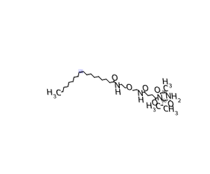 CCCCCCCC/C=C\CCCCCCCC(=O)NCCOCCNC(=O)CCC(=O)N(C(=O)[C@H](C)N)[C@H]([C]=O)C(C)C